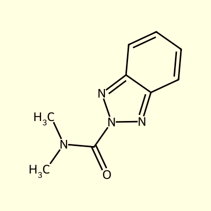 CN(C)C(=O)n1nc2ccccc2n1